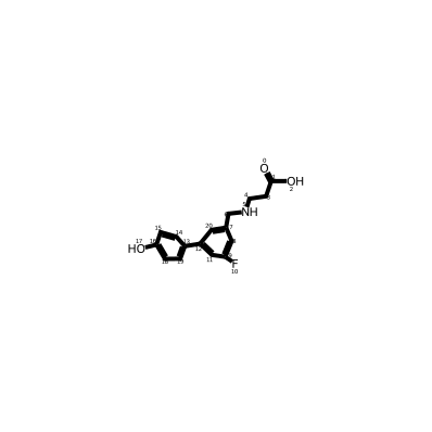 O=C(O)CCNCc1cc(F)cc(-c2ccc(O)cc2)c1